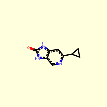 O=c1[nH]c2cnc(C3CC3)cc2[nH]1